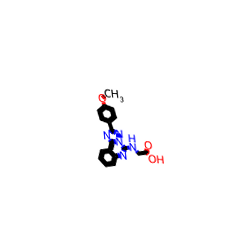 COc1ccc(-c2nc3c4ccccc4nc(NCC(=O)O)n3n2)cc1